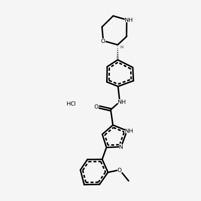 COc1ccccc1-c1cc(C(=O)Nc2ccc([C@H]3CNCCO3)cc2)[nH]n1.Cl